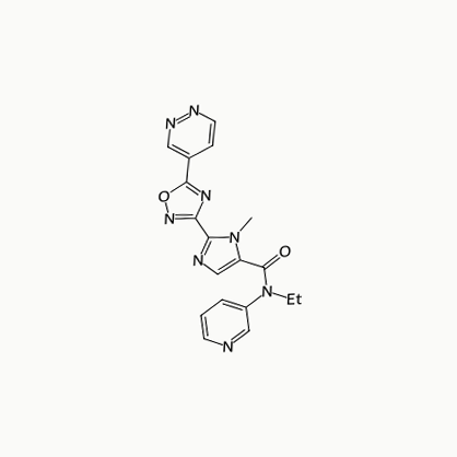 CCN(C(=O)c1cnc(-c2noc(-c3ccnnc3)n2)n1C)c1cccnc1